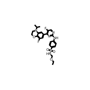 CCOCNS(=O)(=O)c1ccc(Nc2ncc(F)c(-c3cc(F)c4c(c3)N(C(C)C)CCO4)n2)cc1